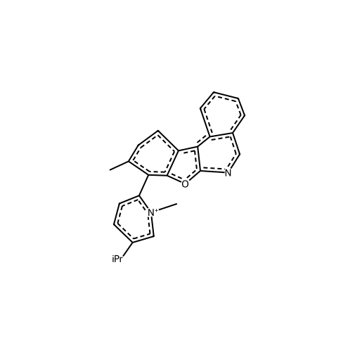 Cc1ccc2c(oc3ncc4ccccc4c32)c1-c1ccc(C(C)C)c[n+]1C